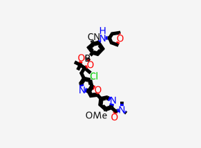 COc1cc(-c2cc3ncc(CC4(C)OB(c5ccc(NC6CCOCC6)c(C#N)c5)OC4(C)C)c(Cl)c3o2)cnc1C(=O)N(C)C